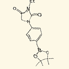 CCN1C(=O)CN(c2ccc(B3OC(C)(C)C(C)(C)O3)cc2)C1=O